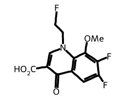 COc1c(F)c(F)cc2c(=O)c(C(=O)O)cn(CCF)c12